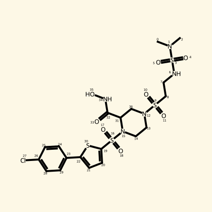 CN(C)S(=O)(=O)NCCS(=O)(=O)N1CCN(S(=O)(=O)c2ccc(-c3ccc(Cl)cc3)s2)C(C(=O)NO)C1